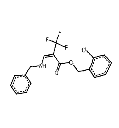 O=C(OCc1ccccc1Cl)/C(=C\NCc1ccccc1)C(F)(F)F